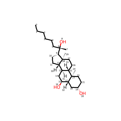 CCCCCC[C@](C)(O)[C@H]1CC[C@H]2[C@@H]3C[C@H](O)[C@H]4C[C@@H](O)CC[C@]4(C)[C@H]3CC[C@@]21C